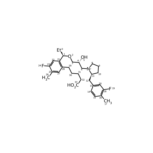 CC[C@@H](OC[C@H](O)CN1CCC[C@H]1Cc1ccc(C)c(F)c1)c1cc(F)c(C)cc1CCCCC(=O)O